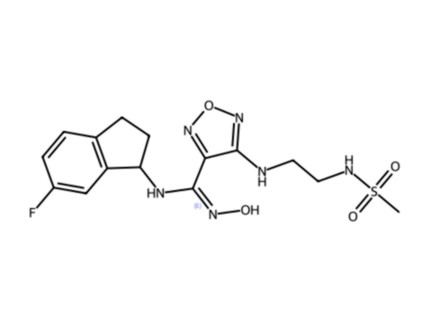 CS(=O)(=O)NCCNc1nonc1/C(=N\O)NC1CCc2ccc(F)cc21